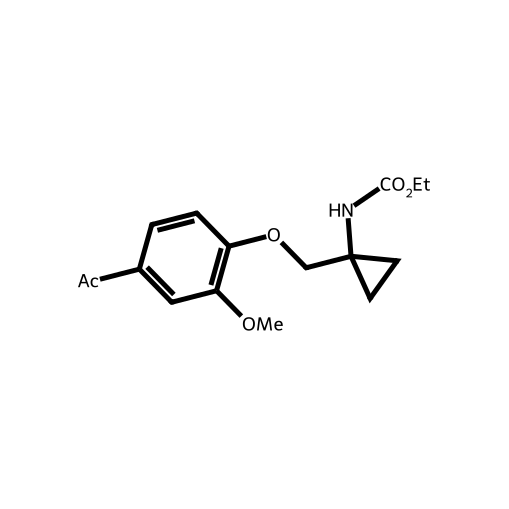 CCOC(=O)NC1(COc2ccc(C(C)=O)cc2OC)CC1